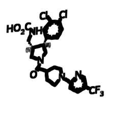 O=C(O)NC[C@H]1CN(C(=O)C2CCN(c3ccc(C(F)(F)F)cn3)CC2)C[C@H]1c1ccc(Cl)c(Cl)c1